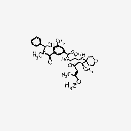 C=C(/C=C\C=C(/C)OC)C1(NC[C@@H](O)[C@H](C)NC(=O)c2cc(C)cc(C(=O)N(C)[C@H](C)c3ccccc3)c2)CCOCC1